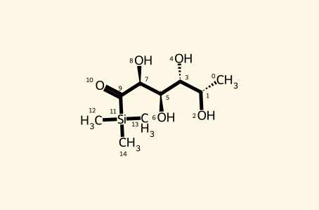 C[C@H](O)[C@@H](O)[C@@H](O)[C@H](O)C(=O)[Si](C)(C)C